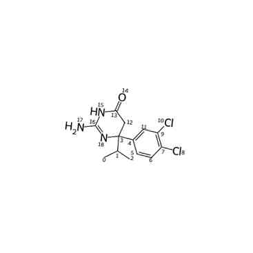 CC(C)C1(c2ccc(Cl)c(Cl)c2)CC(=O)NC(N)=N1